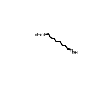 CCCCCCCCCCCCC=NO